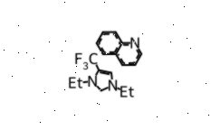 CCN1C=C(C(F)(F)F)N(CC)C1.c1ccc2ncccc2c1